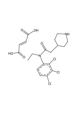 CCN(C(=O)CC1CCNCC1)c1ccc(Cl)c(Cl)c1Cl.O=C(O)/C=C/C(=O)O